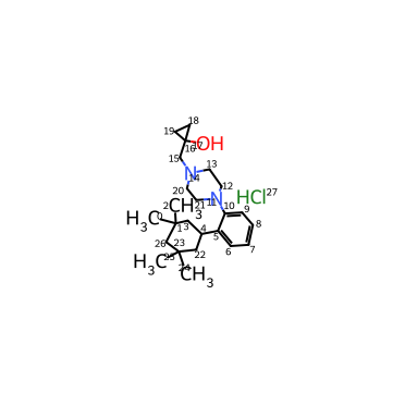 CC1(C)CC(c2ccccc2N2CCN(CC3(O)CC3)CC2)CC(C)(C)C1.Cl